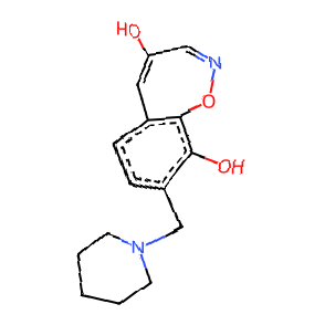 OC1=Cc2ccc(CN3CCCCC3)c(O)c2ON=C1